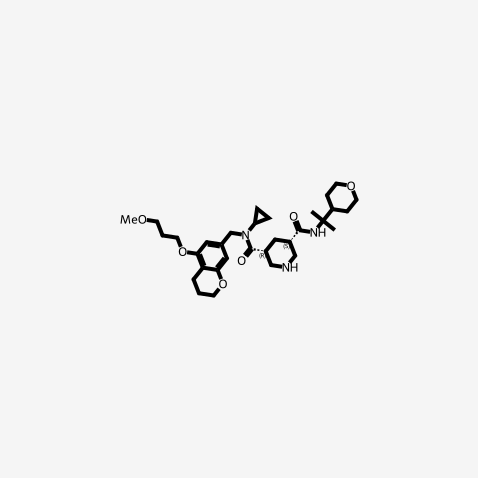 COCCCOc1cc(CN(C(=O)[C@H]2CNC[C@@H](C(=O)NC(C)(C)C3CCOCC3)C2)C2CC2)cc2c1CCCO2